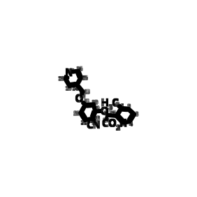 Cc1ccccc1[C@H](Oc1cc(OCc2ccncc2)ccc1C#N)C(=O)O